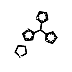 C1CCOC1.c1csc(C(c2cccs2)c2cccs2)c1